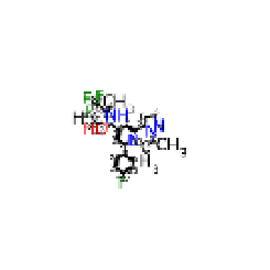 CC(C)n1nccc1-c1cc(C(O)NC(C)(C)C(F)(F)F)cc(-c2ccc(F)cc2)n1